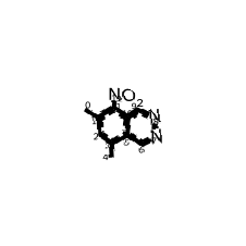 Cc1cc(C)c2cnncc2c1[N+](=O)[O-]